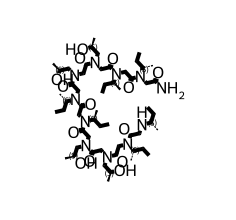 CC[C@H](C)NCC(=O)N(CC(=O)N(CC(=O)N(CC(=O)N(CC(=O)N(CC(=O)N(CC(=O)N(CC(=O)N(CC(=O)N(CC(N)=O)[C@@H](C)CC)[C@@H](C)CC)C[C@H](C)O)C[C@H](C)O)[C@@H](C)CC)[C@@H](C)CC)C[C@H](C)O)C[C@H](C)O)[C@@H](C)CC